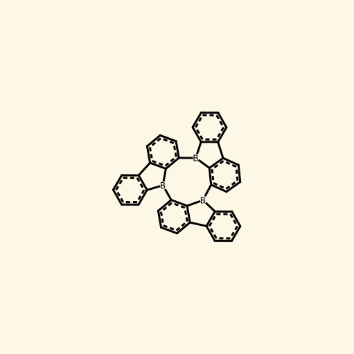 c1ccc2c(c1)B1c3cccc4c3B(c3ccccc3-4)c3cccc4c3B(c3ccccc3-4)c3cccc-2c31